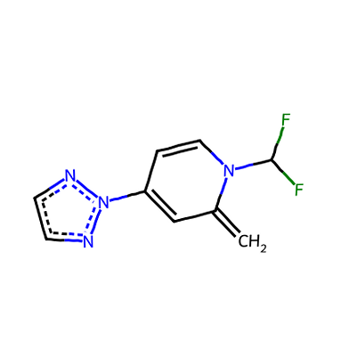 C=C1C=C(n2nccn2)C=CN1C(F)F